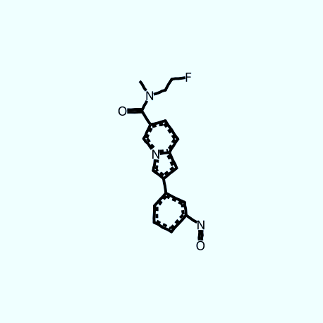 CN(CCF)C(=O)c1ccc2cc(-c3cccc(N=O)c3)cn2c1